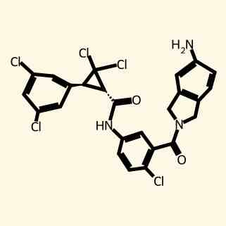 Nc1ccc2c(c1)CN(C(=O)c1cc(NC(=O)[C@@H]3[C@@H](c4cc(Cl)cc(Cl)c4)C3(Cl)Cl)ccc1Cl)C2